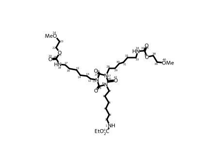 CCOC(=O)NCCCCCCn1c(=O)n(CCCCCCNC(=O)OCCOC)c(=O)n(CCCCCCNC(=O)OCCOC)c1=O